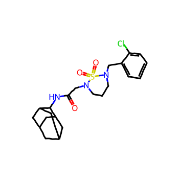 O=C(CN1CCCN(Cc2ccccc2Cl)S1(=O)=O)NC1C2CC3CC(C2)CC1C3